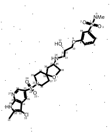 CNS(=O)(=O)c1cccc(OC[C@@H](O)CN[C@H]2COC3(CCN(S(=O)(=O)c4cnc5[nH]c(C)c(Cl)c5c4)CC3)C2)c1